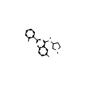 CN1CCC(N(C)c2nc(-c3ccccc3O)nc3ccc(F)cc23)C1